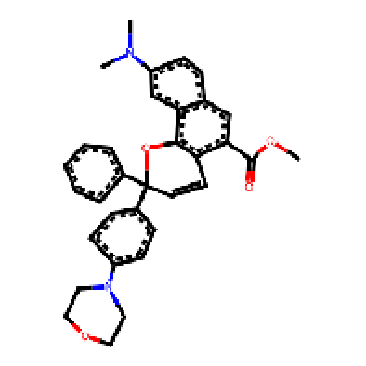 COC(=O)c1cc2ccc(N(C)C)cc2c2c1C=CC(c1ccccc1)(c1ccc(N3CCOCC3)cc1)O2